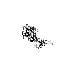 C/N=C(/N)S[C@](C)(Cc1cc(Nc2nccc3nc(OCc4nc(C)oc4C)cnc23)cc(F)c1F)C(F)F